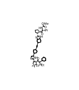 CCN(CC)[C@@H](C(=O)N1C[Si](C)(C)C[C@H]1c1ncc(-c2ccc(C#Cc3ccc4[nH]c([C@@H]5CCCN5C(=O)[C@@H](NC(=O)OC)C(C)C)nc4c3)cc2)[nH]1)c1ccccc1